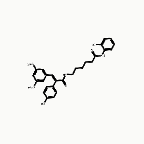 COc1cc(/C=C(/C(=O)NCCCCCC(=O)Nc2ccccc2O)c2ccc(O)cc2)cc(OC)c1